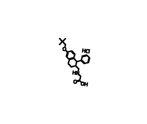 CC(C)(C)COc1ccc2c(c1)CCC(CNCC(=O)O)C2c1ccccc1.Cl